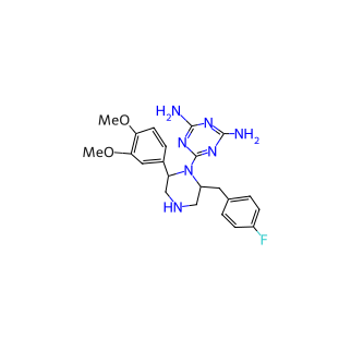 COc1ccc(C2CNCC(Cc3ccc(F)cc3)N2c2nc(N)nc(N)n2)cc1OC